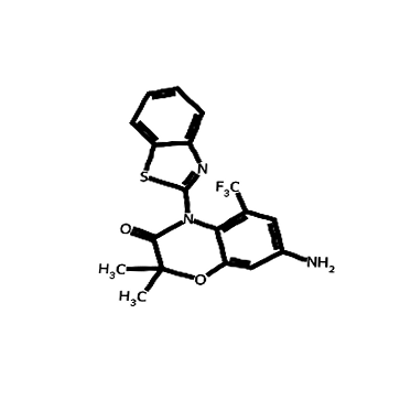 CC1(C)Oc2cc(N)cc(C(F)(F)F)c2N(c2nc3ccccc3s2)C1=O